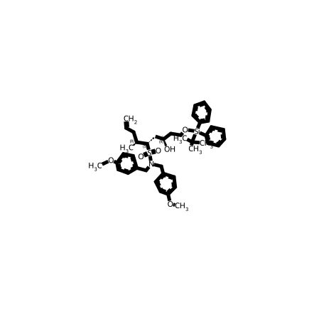 C=CC[C@@H](C)[C@H](C[C@H](O)CCO[Si](c1ccccc1)(c1ccccc1)C(C)(C)C)S(=O)(=O)N(Cc1ccc(OC)cc1)Cc1ccc(OC)cc1